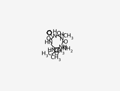 CC[C@@H]1NC(=O)[C@H](CN)NC(=O)[C@](C)(NC(=O)C(C)C)CCNC(=O)[C@@H](c2ccccc2)NC1=O